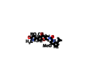 COc1cc(C(=O)N2CCC3(CC2)CC(=O)c2cc(-c4cc(C(=O)O)c(=O)n(C)c4)ccc2O3)nc2c(C3CC3)cccc12